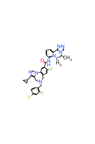 CC(C)n1cnnc1-c1cccc(NC(=O)c2cc3c(cc2F)CN(Cc2ccc(F)cc2F)Cc2c(C4CC4)ncn2-3)n1